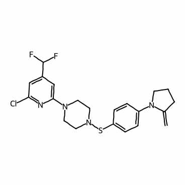 C=C1CCCN1c1ccc(SN2CCN(c3cc(C(F)F)cc(Cl)n3)CC2)cc1